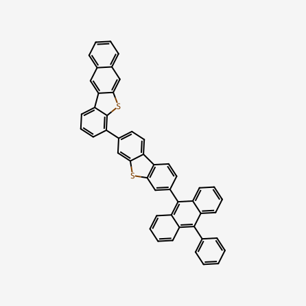 c1ccc(-c2c3ccccc3c(-c3ccc4c(c3)sc3cc(-c5cccc6c5sc5cc7ccccc7cc56)ccc34)c3ccccc23)cc1